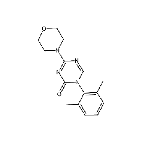 Cc1cccc(C)c1-n1cnc(N2CCOCC2)nc1=O